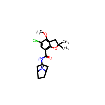 COc1c(Cl)cc(C(=O)NC2CC3CCC(C2)N3C)c2c1CC(C)(C)O2